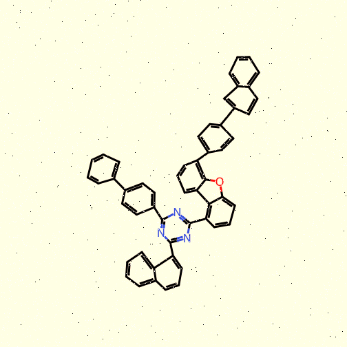 c1ccc(-c2ccc(-c3nc(-c4cccc5ccccc45)nc(-c4cccc5oc6c(-c7ccc(-c8ccc9ccccc9c8)cc7)cccc6c45)n3)cc2)cc1